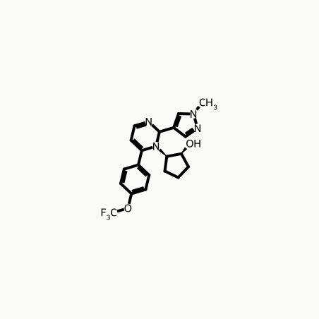 Cn1cc(C2N=CC=C(c3ccc(OC(F)(F)F)cc3)N2[C@@H]2CCC[C@@H]2O)cn1